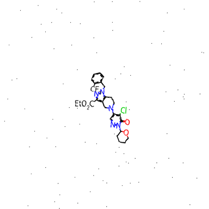 CCOC(=O)c1nn(Cc2ccccc2C(F)(F)F)c2c1CN(c1cnn(C3CCCCO3)c(=O)c1Cl)CC2